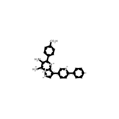 Bc1c(-c2ccc(C(=O)O)cc2)nc2c(-c3ccc(-c4ccccc4)nc3)cnn2c1N